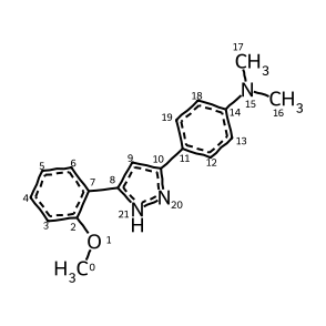 COc1ccccc1-c1cc(-c2ccc(N(C)C)cc2)n[nH]1